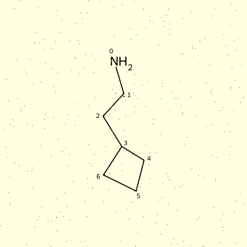 N[CH]CC1CCC1